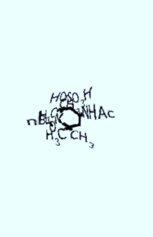 CCCCON1C(C)(C)CC(NC(C)=O)CC1(C)C.O=S(=O)(O)O